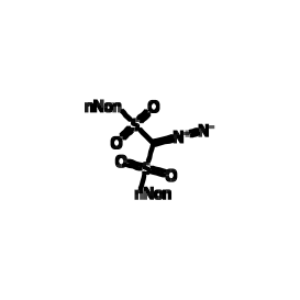 CCCCCCCCCS(=O)(=O)C(=[N+]=[N-])S(=O)(=O)CCCCCCCCC